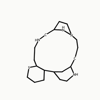 C1CSC2CCNCC3CCN(CCCC4CC(CCN4)C2C1)N3